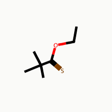 CCOC(=S)C(C)(C)C